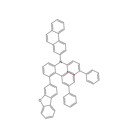 c1ccc(-c2ccc(N(c3ccc4c(ccc5ccccc54)c3)c3cccc(-c4ccc5c(c4)oc4ccccc45)c3-c3cccc(-c4ccccc4)c3)cc2)cc1